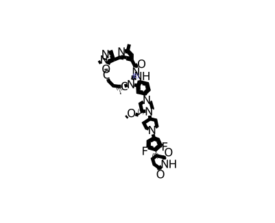 COC[C@@H]1CN(c2ccc3c(c2)N2C[C@H](C)CCCOc4c(cnn4C)-c4cc(cc(C)n4)C(=O)/N=C/2N3)CCN1C1CCN(c2cc(F)c([C@H]3CCC(=O)NC3=O)c(F)c2)CC1